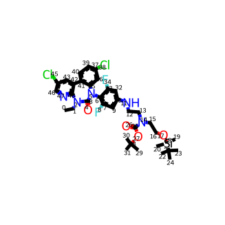 CCN1C(=O)N(c2c(F)cc(NCCN(CCO[Si](C)(C)C(C)(C)C)C(=O)OC(C)(C)C)cc2F)c2cc(Cl)ccc2-c2cc(Cl)cnc21